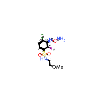 COCCNS(=O)(=O)C1=CC=C(Cl)/C(=N/ON)C1I